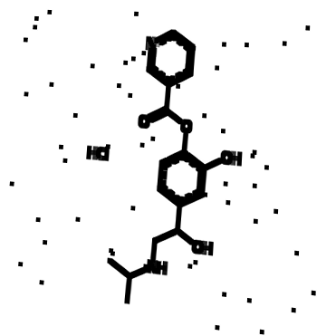 CC(C)NCC(O)c1ccc(OC(=O)c2cccnc2)c(O)c1.Cl